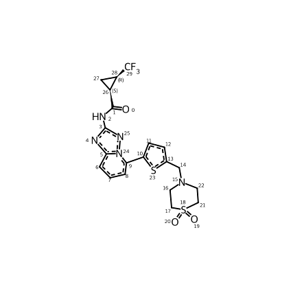 O=C(Nc1nc2cccc(-c3ccc(CN4CCS(=O)(=O)CC4)s3)n2n1)[C@H]1C[C@H]1C(F)(F)F